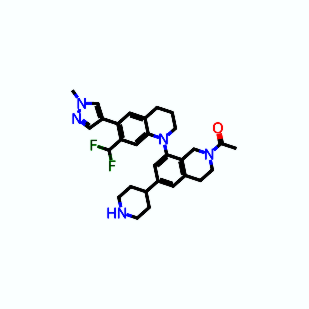 CC(=O)N1CCc2cc(C3CCNCC3)cc(N3CCCc4cc(-c5cnn(C)c5)c(C(F)F)cc43)c2C1